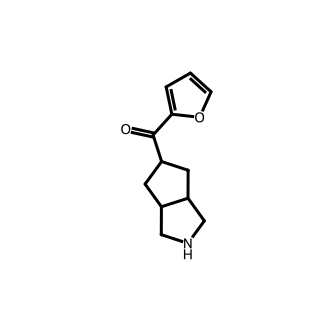 O=C(c1ccco1)C1CC2CNCC2C1